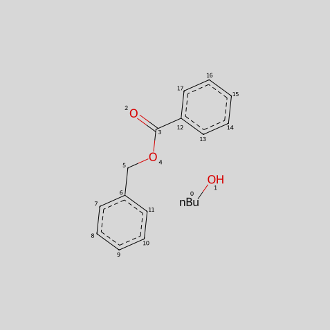 CCCCO.O=C(OCc1ccccc1)c1ccccc1